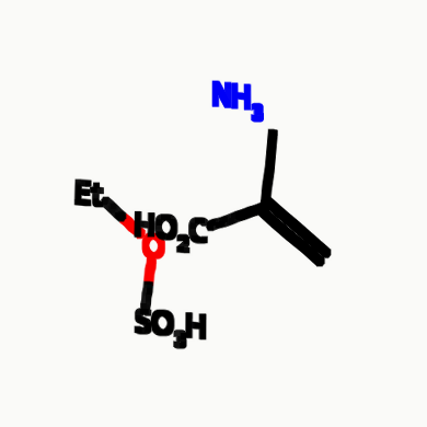 C=C(C)C(=O)O.CCOS(=O)(=O)O.N